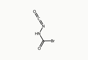 O=C=NNC(=O)Br